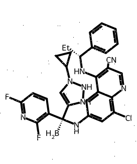 B[C@@](Nc1cc(Cl)c2ncc(C#N)c(N[C@H](CC)c3ccccc3)c2c1)(C1=CN(C2CC2)NN1)c1ccc(F)nc1F